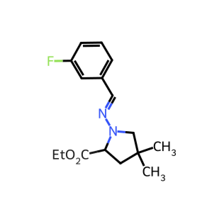 CCOC(=O)C1CC(C)(C)CN1N=Cc1cccc(F)c1